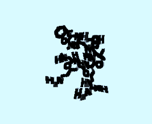 CNCC(=O)N[C@@H](CCCCN)C(=O)N[C@@H](CCCNC(=N)N)C(=O)NC(C(=O)N[C@@H](CO)C(=O)N[C@@H](Cc1ccccc1)C(=O)NC)C(C)C